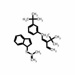 C=CC(=COc1cccc(C(C)(C)C)c1)C(C)(C)C.C[SiH](C)[Ti][CH]1C=Cc2ccccc21